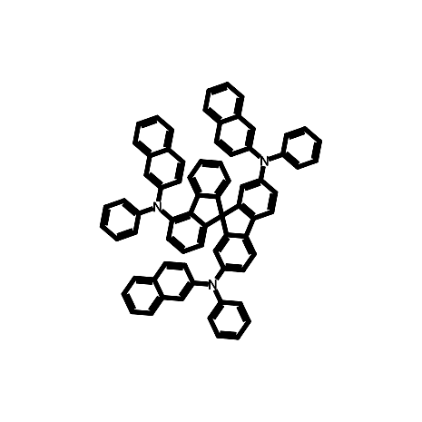 c1ccc(N(c2ccc3c(c2)C2(c4cc(N(c5ccccc5)c5ccc6ccccc6c5)ccc4-3)c3ccccc3-c3c(N(c4ccccc4)c4ccc5ccccc5c4)cccc32)c2ccc3ccccc3c2)cc1